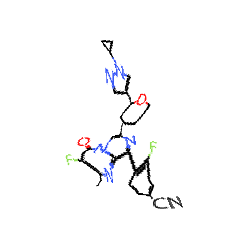 Cc1nc2c(-c3ccc(C#N)cc3F)nc([C@@H]3CCO[C@H](c4cnn(C5CC5)c4)C3)cn2c(=O)c1F